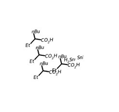 CCCCC(CC)C(=O)O.CCCCC(CC)C(=O)O.CCCCC(CC)C(=O)O.CCCCC(CC)C(=O)O.[SnH2].[Sn]